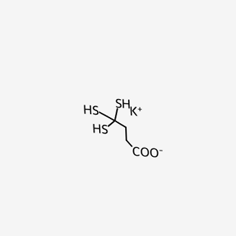 O=C([O-])CCC(S)(S)S.[K+]